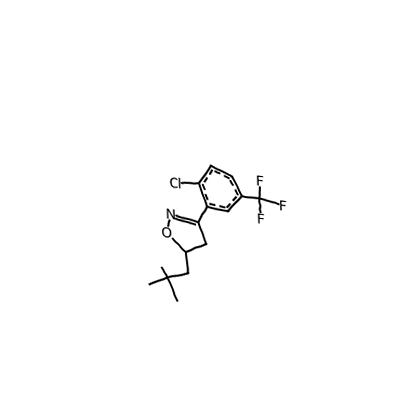 CC(C)(C)CC1CC(c2cc(C(F)(F)F)ccc2Cl)=NO1